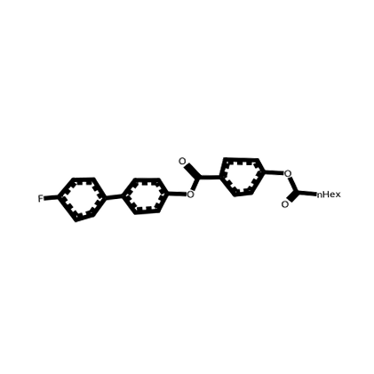 CCCCCCC(=O)Oc1ccc(C(=O)Oc2ccc(-c3ccc(F)cc3)cc2)cc1